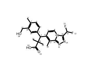 Cc1ccc(C(c2ccn3c(C(F)F)nnc3c2C)C(C)(C)C(=O)O)cc1CO